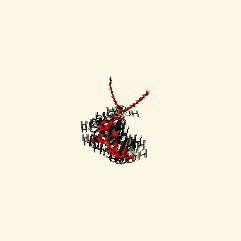 CCCCCCCCCCCCC/C=C/[C@@H](O)[C@H](CO[C@@H]1OC(CO)[C@@H](O[C@@H]2OC(CO)[C@H](O)[C@H](O[C@@H]3OC(CO)[C@@H](O[C@@H]4OC(CO)[C@H](O)[C@H](O[C@]5(C(=O)O)CC(O)[C@@H](O)C([C@H](O)[C@H](O)CO)O5)C4O)[C@H](O)C3NC(C)=O)C2O)[C@H](O)C1O)NC(=O)CCCCCCCCCCCCCCC